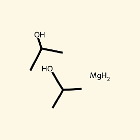 CC(C)O.CC(C)O.[MgH2]